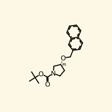 CC(C)(C)OC(=O)N1CC[C@@H](OCc2ccc3ccccc3c2)C1